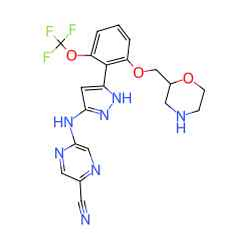 N#Cc1cnc(Nc2cc(-c3c(OCC4CNCCO4)cccc3OC(F)(F)F)[nH]n2)cn1